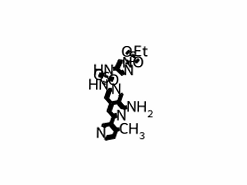 CCS(=O)(=O)n1cc(NS(=O)(=O)Nc2cc3cc(-c4cnccc4C)nc(N)c3cn2)cn1